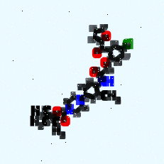 Cc1cc(N2CCN(C(=O)OC(C)(C)C)CC2)ccc1NC(=O)COc1ccc(Cl)cc1C(=O)c1ccco1